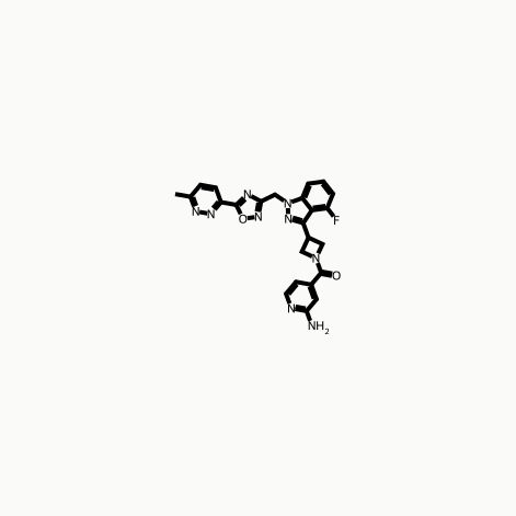 Cc1ccc(-c2nc(Cn3nc(C4CN(C(=O)c5ccnc(N)c5)C4)c4c(F)cccc43)no2)nn1